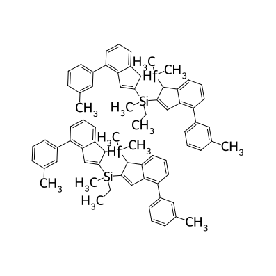 CC[Si]1(C)C2=Cc3c(-c4cccc(C)c4)cccc3[CH]2[Hf]([CH3])([CH3])[CH]2C1=Cc1c(-c3cccc(C)c3)cccc12.CC[Si]1(C)C2=Cc3c(-c4cccc(C)c4)cccc3[CH]2[Hf]([CH3])([CH3])[CH]2C1=Cc1c(-c3cccc(C)c3)cccc12